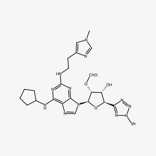 CC(C)n1nnc([C@H]2O[C@@H](n3cnc4c(NC5CCCC5)nc(NCCc5cn(C)cn5)nc43)[C@H](OC=O)[C@@H]2O)n1